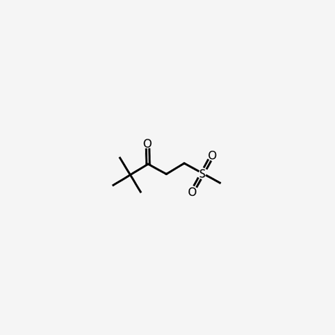 CC(C)(C)C(=O)CCS(C)(=O)=O